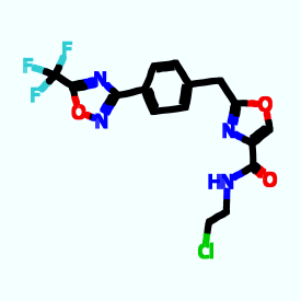 O=C(NCCCl)c1coc(Cc2ccc(-c3noc(C(F)(F)F)n3)cc2)n1